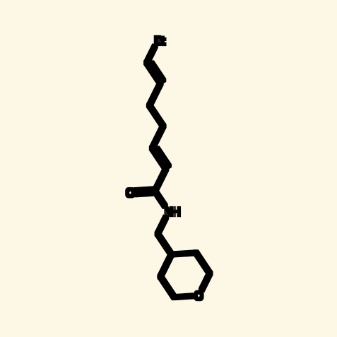 CC/C=C/CC/C=C/C(=O)NCC1CCOCC1